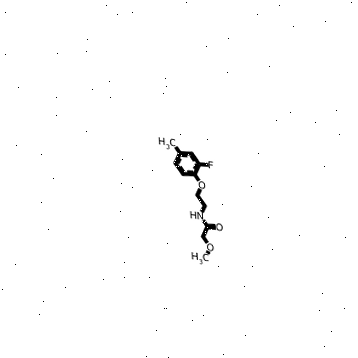 COCC(=O)NCCOc1ccc(C)cc1F